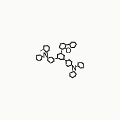 Cc1ccccc1N(c1ccccc1)c1cccc(-c2cc(-c3ccc(N(c4ccccc4)c4ccccc4)cc3)cc(-c3cccc4c3oc3ccccc34)c2)c1